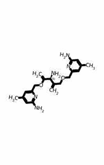 C=C(COCc1cc(C)cc(N)n1)[C@H](N)C(=C)OCc1cc(C)cc(N)n1